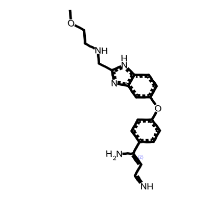 COCCNCc1nc2cc(Oc3ccc(/C(N)=C/C=N)cc3)ccc2[nH]1